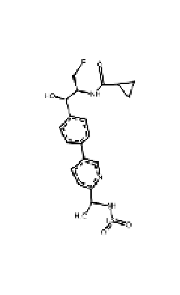 CC(N[SH](=O)=O)c1ccc(-c2ccc([C@@H](O)[C@@H](CF)NC(=O)C3CC3)cc2)cn1